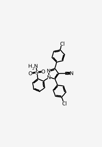 N#Cc1c(-c2ccc(Cl)cc2)nn(-c2ccccc2S(N)(=O)=O)c1-c1ccc(Cl)cc1